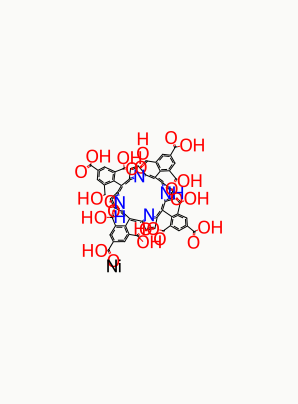 O=C(O)c1cc(C(=O)O)c(-c2c3nc(c(-c4c(C(=O)O)cc(C(=O)O)cc4C(=O)O)c4ccc([nH]4)c(-c4c(C(=O)O)cc(C(=O)O)cc4C(=O)O)c4nc(c(-c5c(C(=O)O)cc(C(=O)O)cc5C(=O)O)c5ccc2[nH]5)C=C4)C=C3)c(C(=O)O)c1.[Ni]